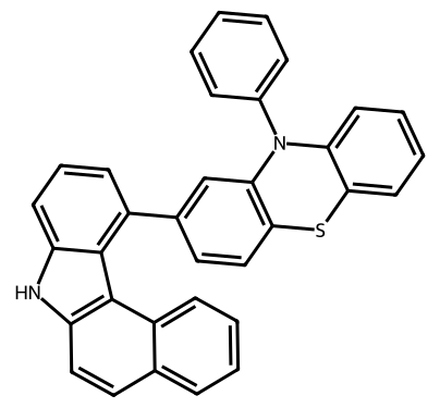 c1ccc(N2c3ccccc3Sc3ccc(-c4cccc5[nH]c6ccc7ccccc7c6c45)cc32)cc1